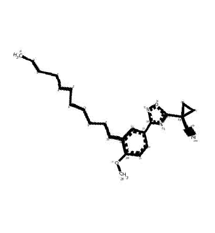 CCCCCCCCCCCc1cc(-c2noc(C3(C#N)CC3)n2)ccc1OC